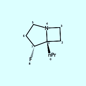 CCC[C@]12CCN1CC[C@H]2F